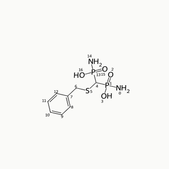 NP(=O)(O)C(SCc1ccccc1)P(N)(=O)O